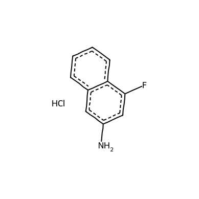 Cl.Nc1cc(F)c2ccccc2c1